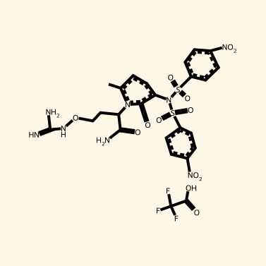 Cc1ccc(N(S(=O)(=O)c2ccc([N+](=O)[O-])cc2)S(=O)(=O)c2ccc([N+](=O)[O-])cc2)c(=O)n1C(CCONC(=N)N)C(N)=O.O=C(O)C(F)(F)F